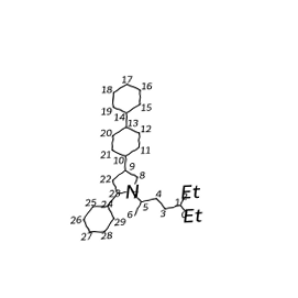 CCC(CC)CCC(C)N1CC(C2CCC(C3CCCCC3)CC2)CC1C1CCCCC1